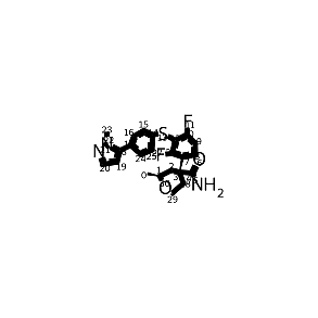 C[C@H]1C[C@@](C(N)=O)(c2ccc(F)c(Sc3ccc(-c4ccnn4C)cc3)c2F)CCO1